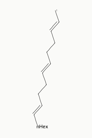 [CH]C=CCCC=CCCC=CCCCCCC